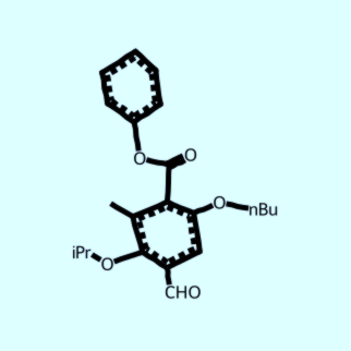 CCCCOc1cc(C=O)c(OC(C)C)c(C)c1C(=O)Oc1ccccc1